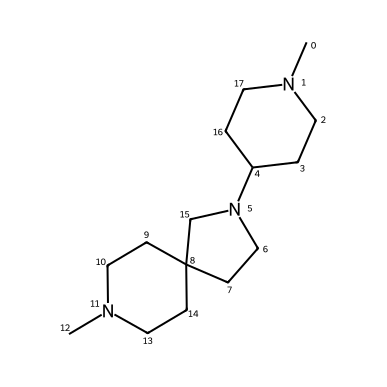 CN1CCC(N2CCC3(CCN(C)CC3)C2)CC1